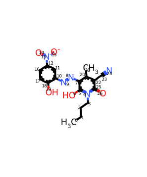 CCCCn1c(O)c(N=Nc2cc([N+](=O)[O-])ccc2O)c(C)c(C#N)c1=O